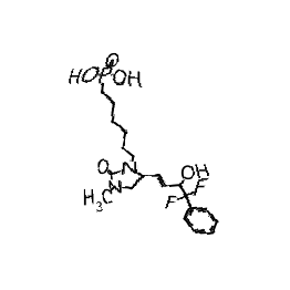 CN1C[C@H](C=CC(O)C(F)(F)c2ccccc2)N(CCCCCCP(=O)(O)O)C1=O